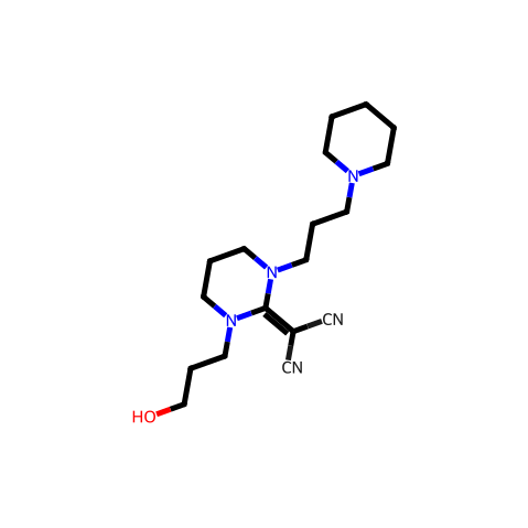 N#CC(C#N)=C1N(CCCO)CCCN1CCCN1CCCCC1